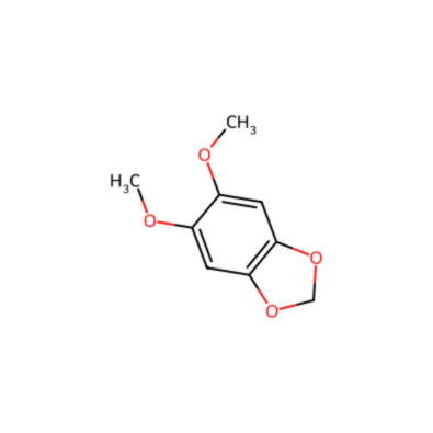 COc1cc2c(cc1OC)OCO2